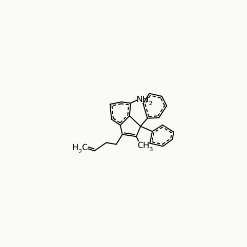 C=CCCC1=C(C)C(c2ccccc2)(c2ccccc2)c2c(N)cccc21